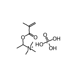 C=C(C)C(=O)OC(C)[N+](C)(C)C.O=P(O)(O)O